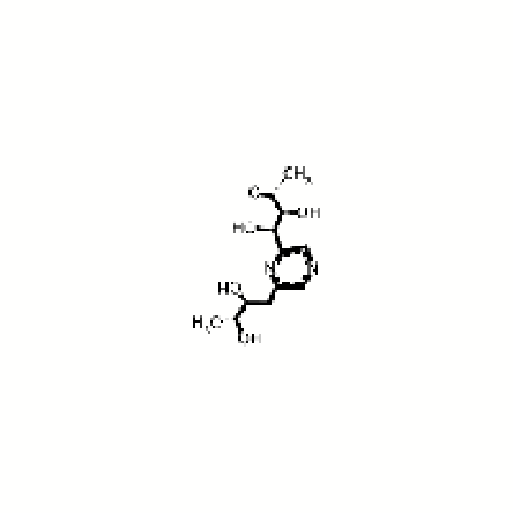 C[C@@H](O)[C@@H](O)[C@H](O)c1cncc(C[C@H](O)[C@@H](C)O)n1